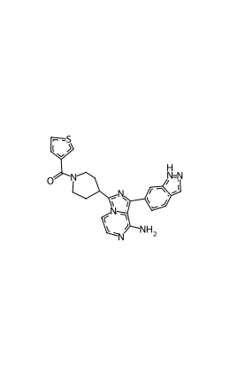 Nc1nccn2c(C3CCN(C(=O)c4ccsc4)CC3)nc(-c3ccc4cn[nH]c4c3)c12